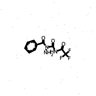 NN(C(=O)NC(=O)C(F)(F)F)C(=O)c1ccccc1